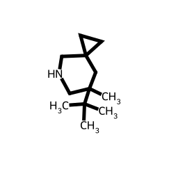 CC(C)(C)C1(C)CNCC2(CC2)C1